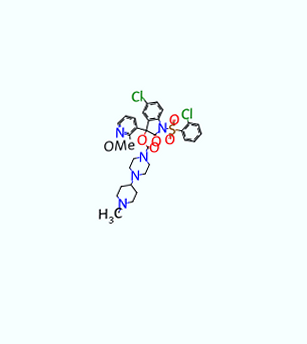 COc1ncccc1C1(OC(=O)N2CCN(C3CCN(C)CC3)CC2)C(=O)N(S(=O)(=O)c2ccccc2Cl)c2ccc(Cl)cc21